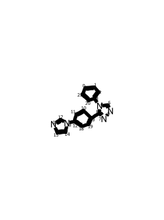 c1ccc(-n2cnnc2-c2ccc(-n3ccnc3)cc2)cc1